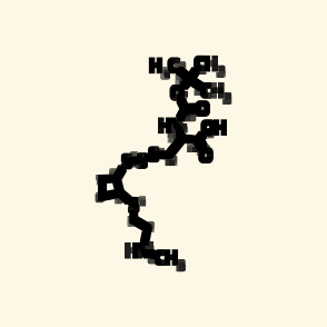 CNCCSC1CCC1SSSCC(NC(=O)OC(C)(C)C)C(=O)O